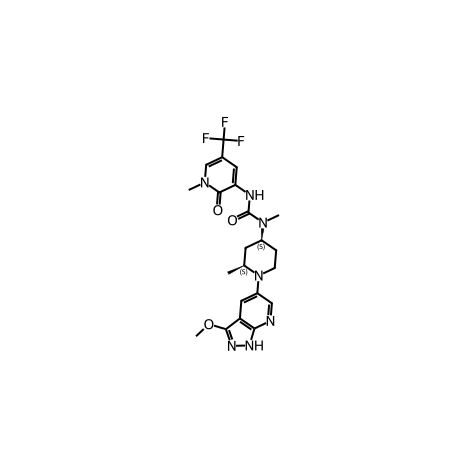 COc1n[nH]c2ncc(N3CC[C@H](N(C)C(=O)Nc4cc(C(F)(F)F)cn(C)c4=O)C[C@@H]3C)cc12